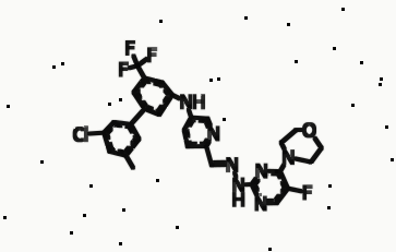 Cc1cc(Cl)cc(-c2cc(Nc3ccc(/C=N/Nc4ncc(F)c(N5CCOCC5)n4)nc3)cc(C(F)(F)F)c2)c1